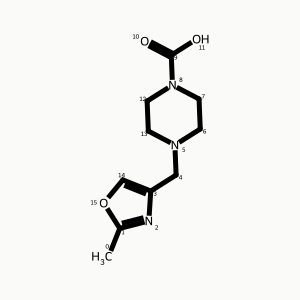 Cc1nc(CN2CCN(C(=O)O)CC2)co1